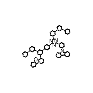 c1ccc(-c2cccc(-c3cccc(-c4nc(-c5ccc(-c6cc(-c7cccc(-c8ccccc8)c7)cc(-c7cccc8c7oc7ccccc78)c6)cc5)nc(-c5cccc(-n6c7ccccc7c7ccccc76)c5)n4)c3)c2)cc1